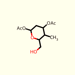 CC(=O)OC1CC(OC(C)=O)C(C)C(CO)O1